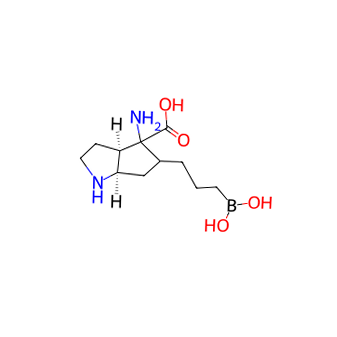 NC1(C(=O)O)C(CCCB(O)O)C[C@H]2NCC[C@H]21